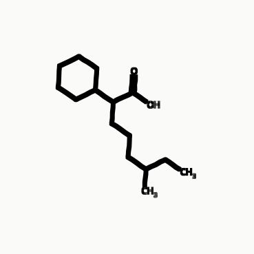 CCC(C)CCCC(C(=O)O)C1CCCCC1